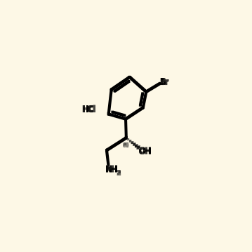 Cl.NC[C@@H](O)c1cccc(Br)c1